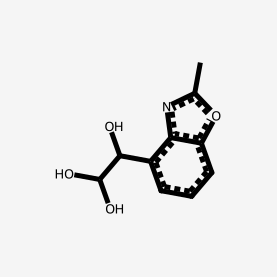 Cc1nc2c(C(O)C(O)O)cccc2o1